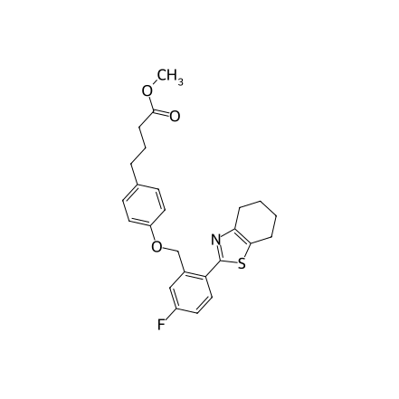 COC(=O)CCCc1ccc(OCc2cc(F)ccc2-c2nc3c(s2)CCCC3)cc1